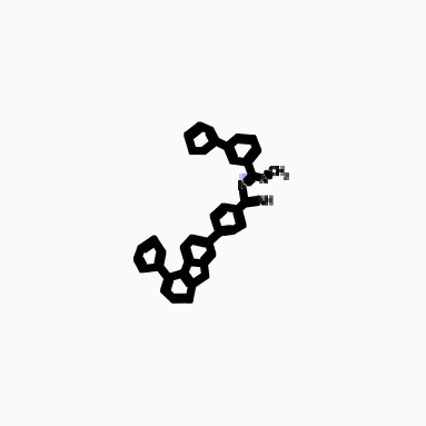 C=N/C(=N\C(=N)c1ccc(-c2ccc3c(c2)Cc2cccc(-c4ccccc4)c2-3)cc1)c1cccc(C2=CC=CCC2)c1